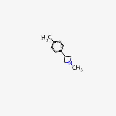 Cc1ccc(C2CN(C)C2)cc1